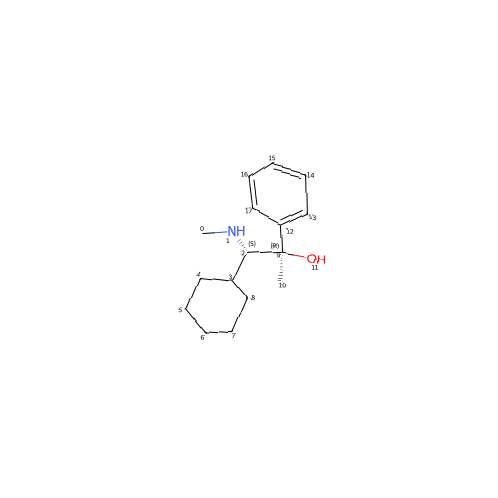 CN[C@@H](C1CCCCC1)[C@](C)(O)c1ccccc1